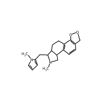 CN1CC2c3ccc4c(c3CCC2C1Cc1cccn1C)OOC4